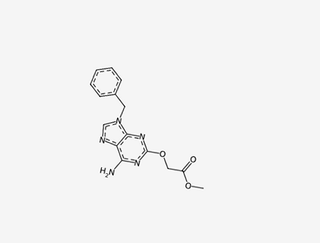 COC(=O)COc1nc(N)c2ncn(Cc3ccccc3)c2n1